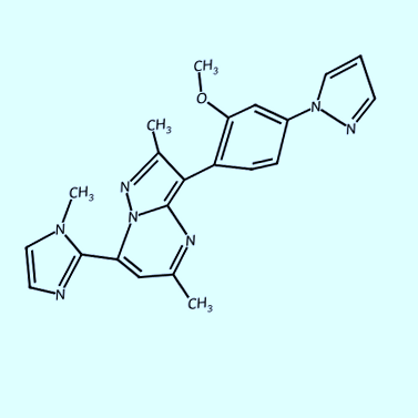 COc1cc(-n2cccn2)ccc1-c1c(C)nn2c(-c3nccn3C)cc(C)nc12